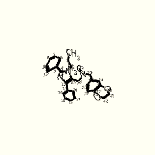 CCCn1c(-c2ccccc2)nc(-c2ccccc2)c1CN(C)Cc1ccc2c(c1)OCCO2